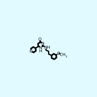 COc1cccc(CCCNc2nc(=O)cc(-c3ccncc3)[nH]2)c1